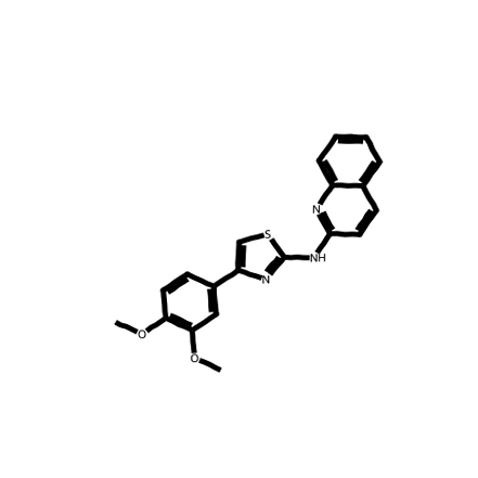 COc1ccc(-c2csc(Nc3ccc4ccccc4n3)n2)cc1OC